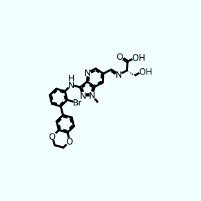 Cn1nc(Nc2cccc(-c3ccc4c(c3)OCCO4)c2Br)c2ncc(C=N[C@@H](CO)C(=O)O)cc21